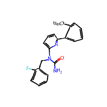 COc1ccccc1-c1cccc(N(Cc2ccccc2F)C(N)=O)n1